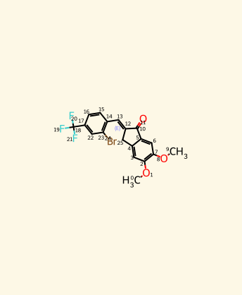 COc1cc2c(cc1OC)C(=O)/C(=C/c1ccc(C(F)(F)F)cc1Br)C2